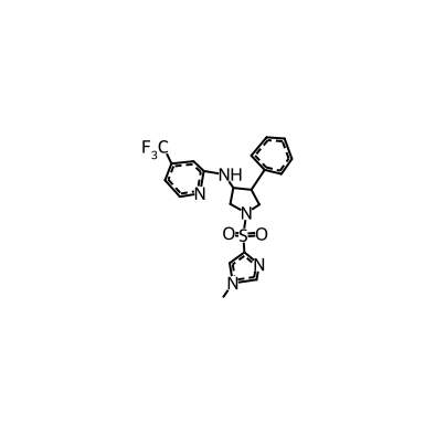 Cn1cnc(S(=O)(=O)N2CC(Nc3cc(C(F)(F)F)ccn3)C(c3ccccc3)C2)c1